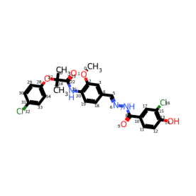 COc1cc(C=NNC(=O)c2ccc(O)c(Cl)c2)ccc1NC(=O)C(C)(C)Oc1ccc(Cl)cc1